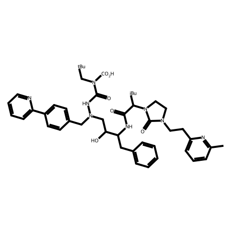 CCC(C)C(C(=O)NC(Cc1ccccc1)C(O)CN(Cc1ccc(-c2ccccn2)cc1)NC(=O)N(CC(C)(C)C)C(=O)O)N1CCN(CCc2cccc(C)n2)C1=O